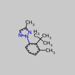 Cc1cnn(-c2cccc(C)c2C(C)(C)C)n1